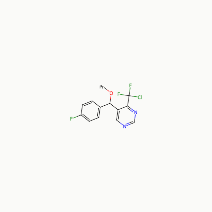 CC(C)OC(c1ccc(F)cc1)c1cncnc1C(F)(F)Cl